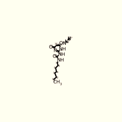 CCCCCCCCNC(=O)Nc1nc(=O)cc(ON=[N+]=[N-])[nH]1